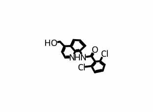 O=C(Nc1cccc2c(CO)ccnc12)c1c(Cl)cccc1Cl